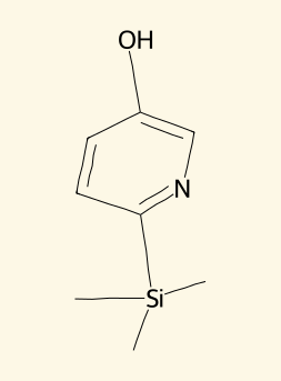 C[Si](C)(C)c1ccc(O)cn1